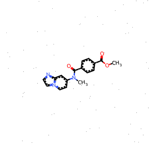 COC(=O)c1ccc(C(=O)N(C)c2ccn3ccnc3c2)cc1